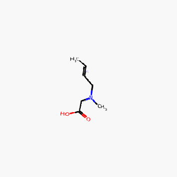 C/C=C/CN(C)CC(=O)O